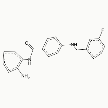 Nc1ccccc1NC(=O)c1ccc(NCc2cccc(F)c2)cc1